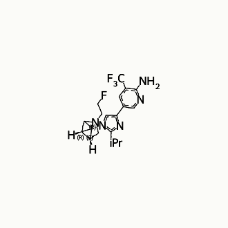 CC(C)c1nc(-c2cnc(N)c(C(F)(F)F)c2)cn1[C@@]12C3[C@H]1[C@H]2CN3CCF